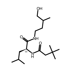 CC(C)C[C@H](NC(=O)CC(C)(C)C)C(=O)NCCC(C)CO